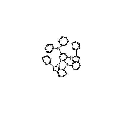 c1ccc(-c2cc3cccc4c3n2-c2cc(N(c3ccccc3)c3ccccc3)cc3c2B4c2cccc4cc(-c5ccccc5)n-3c24)cc1